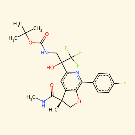 CNC(=O)[C@@]1(C)COc2c1cc(C(O)(CNC(=O)OC(C)(C)C)C(F)(F)F)nc2-c1ccc(F)cc1